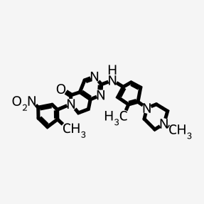 Cc1cc(Nc2ncc3c(n2)CCN(c2cc([N+](=O)[O-])ccc2C)C3=O)ccc1N1CCN(C)CC1